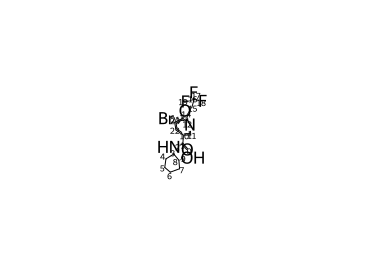 O=C(N[C@@H]1CCCC[C@H]1O)c1cnc(OCC(F)(F)F)c(Br)c1